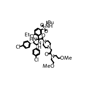 CCOc1ccc(S(=O)(=O)NC(C)(C)C)cc1C1(C(=O)N2CCN(CC(=O)N(CCOC)CCOC)CC2)N[C@H](c2ccc(Cl)cc2)[C@H](c2ccc(Cl)cc2)N1